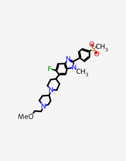 COCCN1CCC(N2CCC(c3cc4c(cc3F)nc(-c3ccc(S(C)(=O)=O)cc3)n4C)CC2)CC1